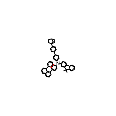 CC1(C)c2ccccc2-c2ccc(N(c3ccc(-c4ccc(C56CCC(CC5)C6)cc4)cc3)c3ccc(-c4cccc5cccc(-c6ccccc6)c45)cc3)cc21